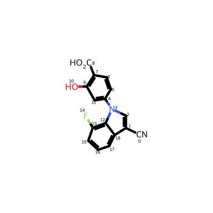 N#Cc1cn(-c2ccc(C(=O)O)c(O)c2)c2c(F)cccc12